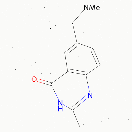 CNCc1ccc2nc(C)[nH]c(=O)c2c1